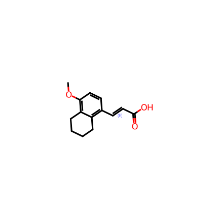 COc1ccc(/C=C/C(=O)O)c2c1CCCC2